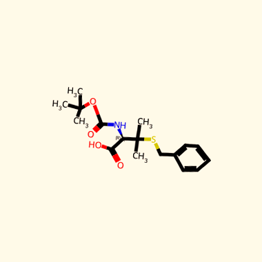 CC(C)(C)OC(=O)N[C@H](C(=O)O)C(C)(C)SCc1ccccc1